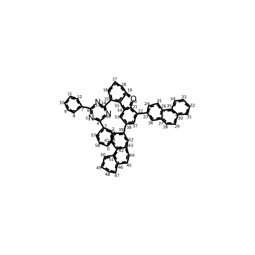 c1ccc(-c2nc(-c3ccccc3)nc(-c3cccc4oc5c(-c6ccc7c(ccc8ccccc87)c6)cc(-c6ccc7c(ccc8ccccc87)c6)cc5c34)n2)cc1